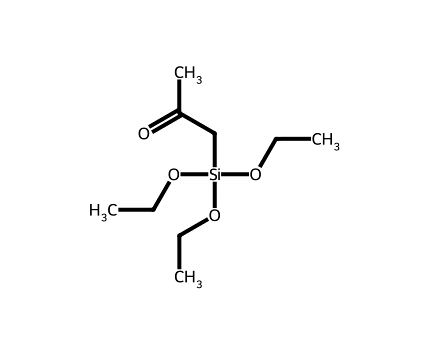 CCO[Si](CC(C)=O)(OCC)OCC